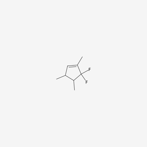 CC1=CC(C)C(C)C1(F)F